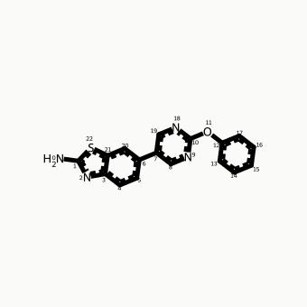 Nc1nc2ccc(-c3cnc(Oc4ccccc4)nc3)cc2s1